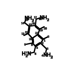 Cc1c(CN)c(CN)c(C)c2c(C)c(CN)c(CN)c(C)c12